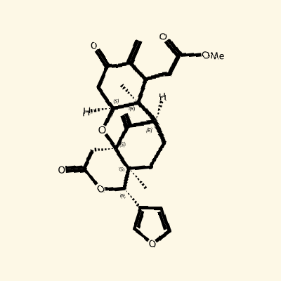 C=C1C(=O)C[C@@H]2O[C@]34CC(=O)O[C@@H](c5ccoc5)[C@]3(C)CC[C@@H](C4=C)[C@]2(C)C1CC(=O)OC